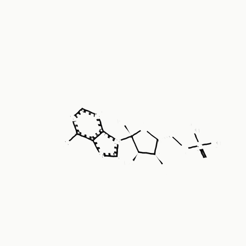 Nc1ncnc2c1ncn2[C@]1(Br)O[C@H](COP(=O)(O)O)[C@@H](O)[C@H]1O